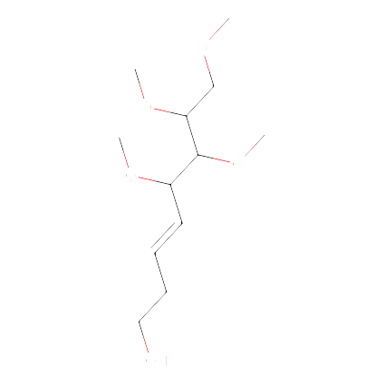 COCC(OC)C(OC)C(/C=C/CCO)OC